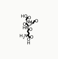 N[C@@H](CCC(=O)N[C@@H](CSCC=O)C(=O)NCC(=O)O)C(=O)O